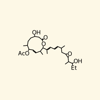 CCC(O)C(C)C1OC1CC(C)/C=C/C=C(\C)C1OC(=O)CC(O)CCC(C)C(OC(C)=O)/C=C/C1C